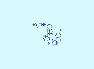 C[C@@H](Cc1cccc(CNC(=O)O)c1)Nc1nccc(N(C)c2ccnc(-c3ccc(F)cc3F)n2)n1